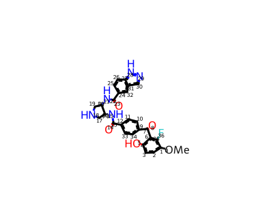 COc1ccc(O)c(C(=O)c2ccc(C(=O)N[C@@H]3CNC[C@H]3NC(=O)c3ccc4[nH]ncc4c3)cc2)c1F